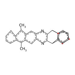 Cc1c2ccccc2c(C)c2cc3nc4c(nc3cc12)C1c2ccccc2C4c2ccccc21